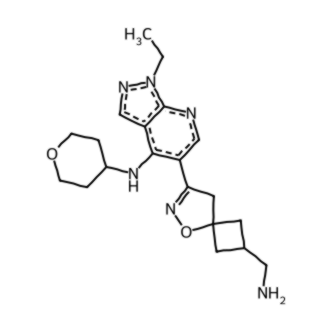 CCn1ncc2c(NC3CCOCC3)c(C3=NOC4(C3)CC(CN)C4)cnc21